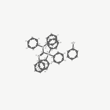 [O-]c1ccccc1.c1ccc(N=C(N(c2ccccc2)c2ccccc2)[N+](c2ccccc2)(c2ccccc2)c2ccccc2)cc1